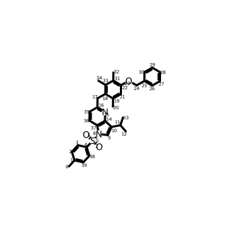 Cc1ccc(S(=O)(=O)n2cc(C(C)C)c3nc(Cc4c(C)cc(OCc5ccccc5)c(C)c4C)ccc32)cc1